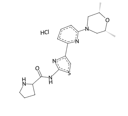 C[C@@H]1CN(c2cccc(-c3csc(NC(=O)C4CCCN4)n3)n2)C[C@H](C)O1.Cl